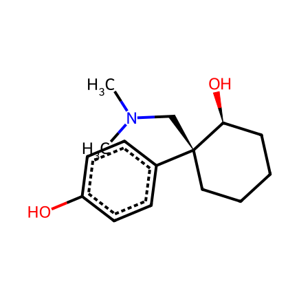 CN(C)C[C@]1(c2ccc(O)cc2)CCCC[C@@H]1O